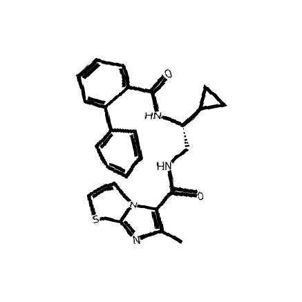 Cc1nc2sccn2c1C(=O)NC[C@H](NC(=O)c1ccccc1-c1ccccc1)C1CC1